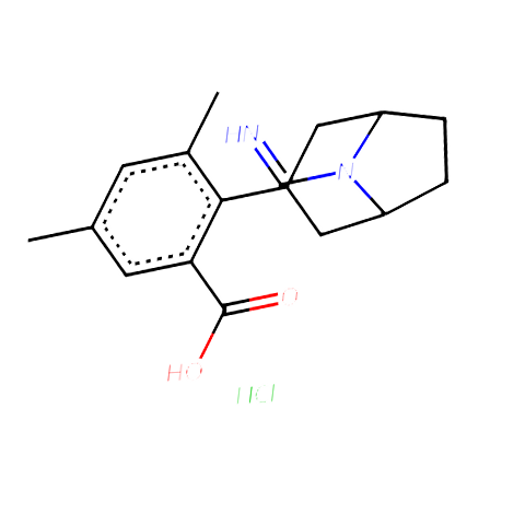 Cc1cc(C)c(C2CC3CCC(C2)N3C=N)c(C(=O)O)c1.Cl